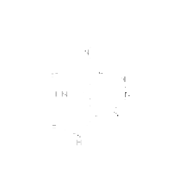 CCNc1nnnc(NCC)c1NCC